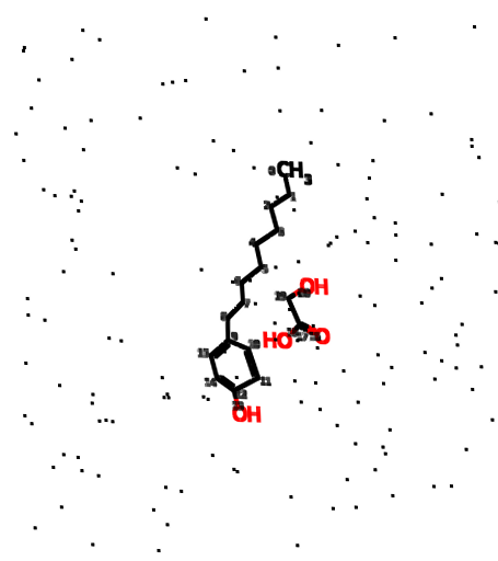 CCCCCCCCCc1ccc(O)cc1.O=C(O)CO